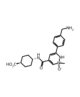 C[N+]1([O-])C=C(C(=O)N[C@H]2CC[C@H](C(=O)O)CC2)C=C(c2ccc(CN)cc2)N1